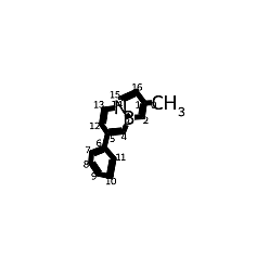 CC1=CB2C=C(c3ccccc3)C=CN2C=C1